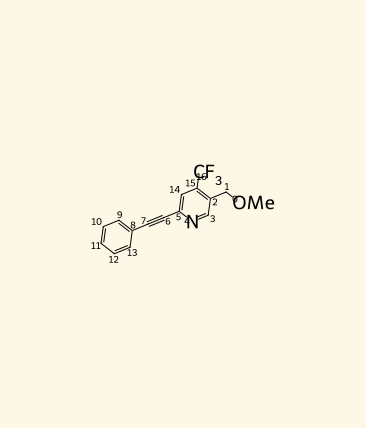 COCc1cnc(C#Cc2ccccc2)cc1C(F)(F)F